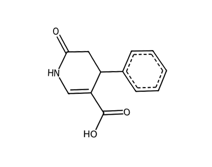 O=C1CC(c2ccccc2)C(C(=O)O)=CN1